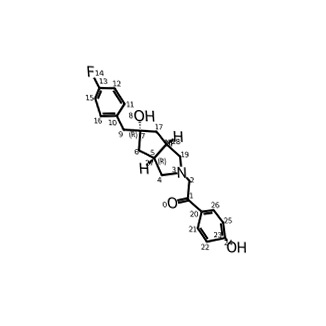 O=C(CN1C[C@@H]2C[C@@](O)(Cc3ccc(F)cc3)C[C@@H]2C1)c1ccc(O)cc1